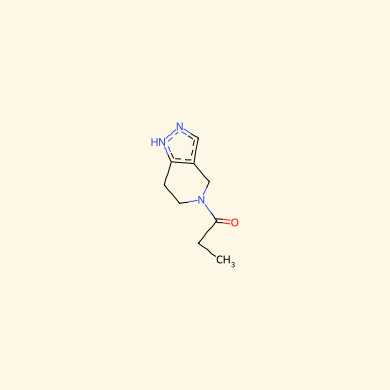 CCC(=O)N1CCc2[nH]ncc2C1